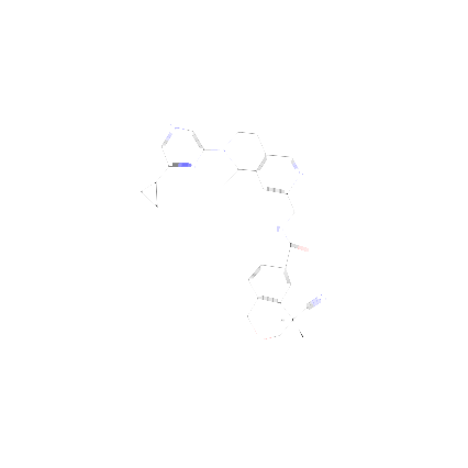 CC1c2cc(CNC(=O)c3ccc4c(c3)[C@](C)(C#N)COC4)ncc2CCN1c1cncc(C2CC2)n1